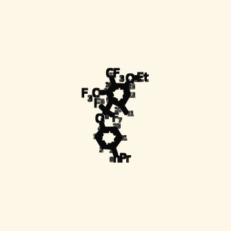 CCCc1ccc(OC(F)(F)c2c(C)cc(OCC)c(C(F)(F)F)c2C(F)(F)F)cc1